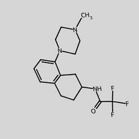 CN1CCN(c2cccc3c2CC(NC(=O)C(F)(F)F)CC3)CC1